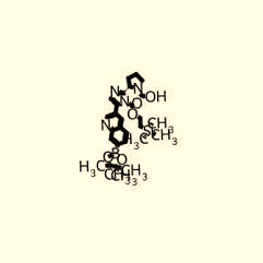 CC1(C)OB(c2ccc3cc(-c4cnc([C@@H]5CCCN5C(=O)O)n4COCC[Si](C)(C)C)cnc3c2)OC1(C)C